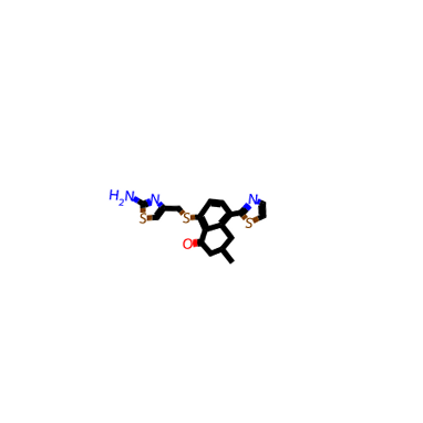 CC1CC(=O)c2c(SCc3csc(N)n3)ccc(-c3nccs3)c2C1